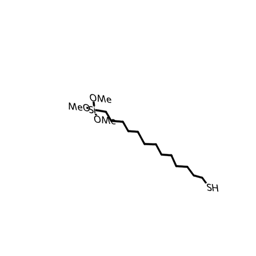 CO[Si](CCCCCCCCCCCCCS)(OC)OC